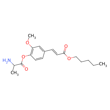 CCCCCOC(=O)/C=C/c1ccc(OC(=O)C(C)N)c(OC)c1